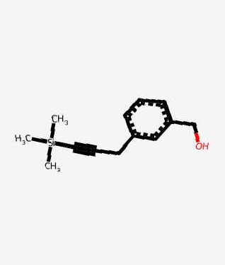 C[Si](C)(C)C#CCc1cccc(CO)c1